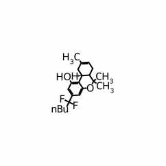 CCCCC(F)(F)c1cc(O)c2c(c1)OC(C)(C)C1CC=C(C)C[C@@H]21